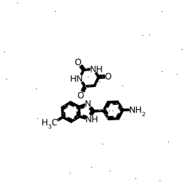 Cc1ccc2nc(-c3ccc(N)cc3)[nH]c2c1.O=C1CC(=O)NC(=O)N1